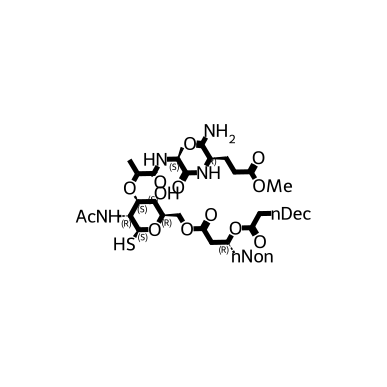 CCCCCCCCCCCC(=O)O[C@H](CCCCCCCCC)CC(=O)OC[C@H]1O[C@@H](S)[C@H](NC(C)=O)[C@H](OC(C)C(=O)N[C@@H](C)C(=O)N[C@H](CCC(=O)OC)C(N)=O)[C@@H]1O